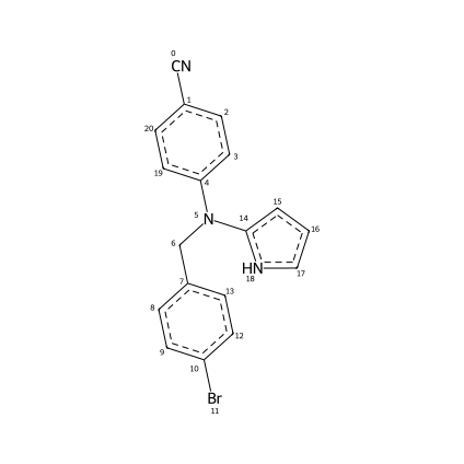 N#Cc1ccc(N(Cc2ccc(Br)cc2)c2ccc[nH]2)cc1